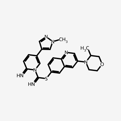 CC1COCCN1c1cnc2ccc(SC(=N)n3cc(-c4cnn(C)c4)ccc3=N)cc2c1